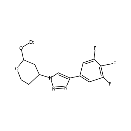 CCOC1CC(n2cc(-c3cc(F)c(F)c(F)c3)nn2)CCO1